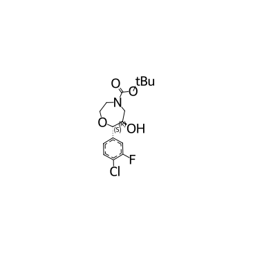 CC(C)(C)OC(=O)N1CCO[C@@H](c2ccc(Cl)c(F)c2)[C@H](O)C1